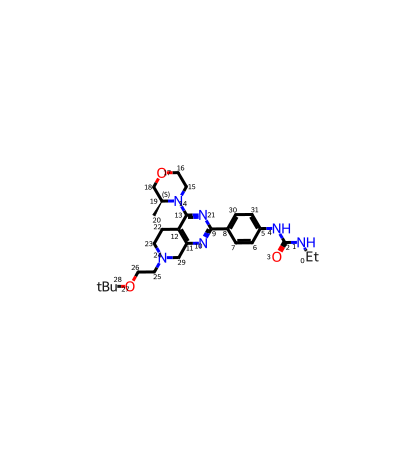 CCNC(=O)Nc1ccc(-c2nc3c(c(N4CCOC[C@@H]4C)n2)CCN(CCOC(C)(C)C)C3)cc1